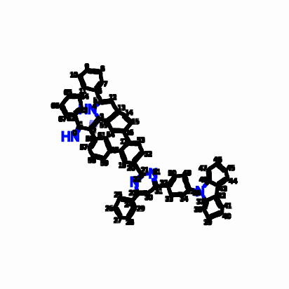 N=C(/C(=C1\NC(c2ccccc2)=Cc2ccc(-c3ccc(-c4nc(-c5ccccc5)cc(-c5ccc(-n6c7ccccc7c7ccccc76)cc5)n4)cc3)cc21)c1ccccc1)c1ccccc1